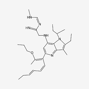 CC/C=C/C=C\C(=C(/C)OCCC)c1cc(NCC(=N)/N=C\NC)c2c(n1)c(C)c(CC)n2C(C)CC